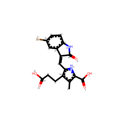 Cc1c(C(=O)O)[nH]c(/C=C2\C(=O)Nc3ccc(Br)cc32)c1CCC(=O)O